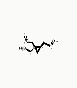 BC[C@]1(CN=O)CC1CN=O